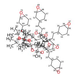 C[Si](C)(C)O[Si](C)(C)O[Si](C)(C)O[Si](C)(C)O[Si](C)(CCC1CCC2OC2C1)O[Si](C)(CCC1CCC2OC2C1)O[Si](C)(CCC1CCC2OC2C1)O[Si](C)(CCC1CCC2OC2C1)O[Si](C)(CCC1CCC2OC2C1)O[Si](C)(C)C